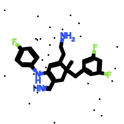 CC1(Cc2cc(F)cc(F)c2)CC(C=N)=C(Nc2ccc(F)cc2)C=C1CCN